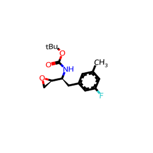 Cc1cc(F)cc(C[C@H](NC(=O)OC(C)(C)C)[C@H]2CO2)c1